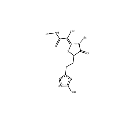 CCCCc1nc(CCC2S/C(=C(/C#N)C(=O)NCC)N(CC)C2=O)c[nH]1